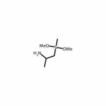 CO[Si](C)(CC(C)N)OC